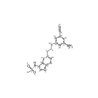 CS(=O)(=O)Nc1coc2cnc(CCSc3nc(N)cc(C#N)n3)cc12